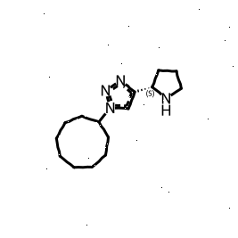 c1c([C@@H]2CCCN2)nnn1C1CCCCCCCC1